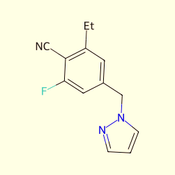 CCc1cc(Cn2cccn2)cc(F)c1C#N